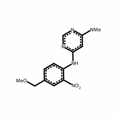 CNc1cc(Nc2ccc(COC)cc2[N+](=O)[O-])ncn1